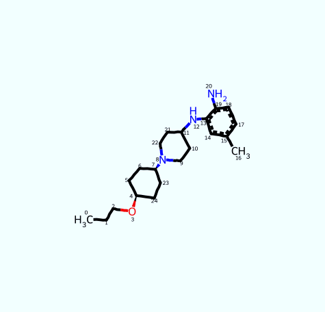 CCCO[C@H]1CC[C@@H](N2CCC(Nc3cc(C)ccc3N)CC2)CC1